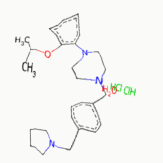 CC(C)Oc1ccccc1N1CCN(Cc2ccc(CN3CCCC3)cc2)CC1.Cl.Cl.O